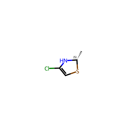 C[C@H]1NC(Cl)=CS1